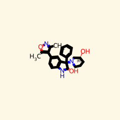 Cc1noc(C)c1-c1ccc2c(c1)C(c1ccccc1)(N1CCC[C@@H](O)C1)C(O)N2